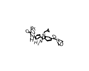 CC(C)OC(=O)Nc1ccc(-c2c(N)c3ccc(C(=O)N4CCOCC4)cc3n2CC2CC2)cc1